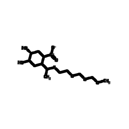 COCOCOCCSC(C)C1CC(O)[C@@H](O)CC1[N+](=O)[O-]